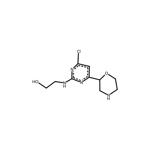 OCCNc1nc(Cl)cc(C2CNCCO2)n1